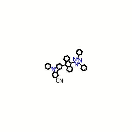 N#Cc1ccc2c(c1)c1cc(-c3c4ccccc4c(-c4nc(-c5ccccc5)nc(-c5ccccc5)n4)c4ccccc34)ccc1n2-c1ccccc1